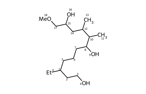 CCC(CCO)CCCC(O)C(C)C(C)CC(O)COC